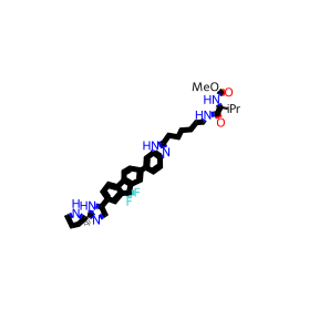 COC(=O)N[C@H](C(=O)NCCCCCCc1nc2ccc(-c3ccc4c(c3)C(F)(F)c3cc(C5CN=C([C@@H]6CCCN6)N5)ccc3-4)cc2[nH]1)C(C)C